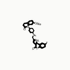 COc1ccc2ccc(=O)n(C3CCC(NCc4cc5c(=O)oc6ccc(F)cc6c5[nH]4)CC3)c2c1